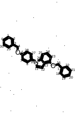 c1ccc(COc2ccc(-n3ccc4c(OCc5ccccc5)cccc43)cc2)cc1